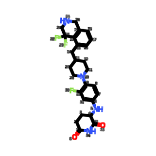 O=C1CCC(Nc2ccc(N3CCC(Cc4cccc5c4C(F)(F)CNC5)CC3)c(F)c2)C(=O)N1